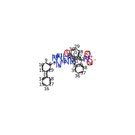 CC1(C(=O)Nc2nc(-c3cccc(-c4ccccc4)c3)n[nH]2)CC2([N+](=O)[O-])c3ccccc3C1c1ccccc12